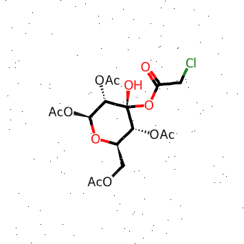 CC(=O)OC[C@H]1O[C@@H](OC(C)=O)[C@H](OC(C)=O)[C@](O)(OC(=O)CCl)[C@@H]1OC(C)=O